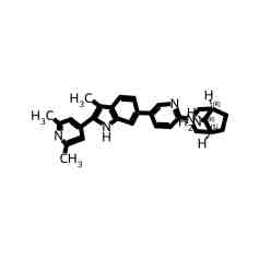 Cc1cc(-c2[nH]c3cc(-c4ccc(N5C[C@H]6CC[C@@H](C5)[C@H]6N)nc4)ccc3c2C)cc(C)n1